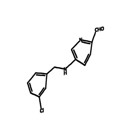 O=Cc1ccc(NCc2cccc(Cl)c2)cn1